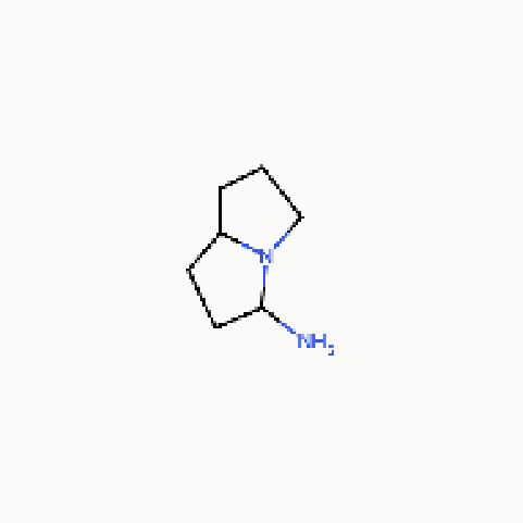 NC1CCC2CCCN12